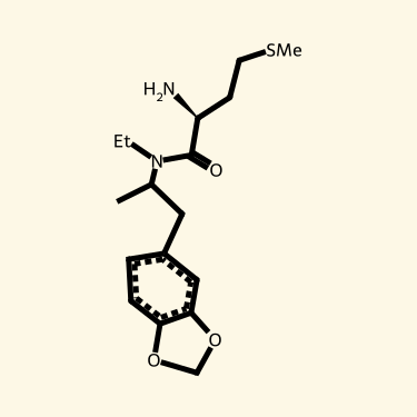 CCN(C(=O)[C@@H](N)CCSC)C(C)Cc1ccc2c(c1)OCO2